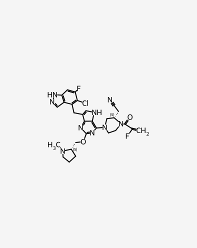 C=C(F)C(=O)N1CCN(c2nc(OC[C@@H]3CCCN3C)nc3c(Cc4c(Cl)c(F)cc5[nH]ncc45)c[nH]c23)C[C@@H]1CC#N